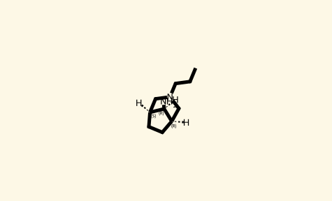 CCCN1C[C@H]2CC[C@@H](C1)[C@H]2N